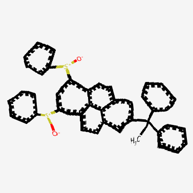 CC(c1ccccc1)(c1ccccc1)c1cc2ccc3c([S+]([O-])c4ccccc4)cc([S+]([O-])c4ccccc4)c4ccc(c1)c2c34